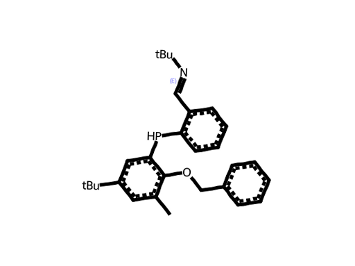 Cc1cc(C(C)(C)C)cc(Pc2ccccc2/C=N/C(C)(C)C)c1OCc1ccccc1